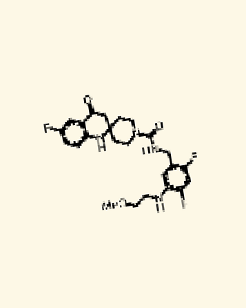 COCCNc1cc(CNC(=O)N2CCC3(CC2)CC(=O)c2cc(F)ccc2N3)c(F)cc1F